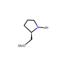 CCCN1CCC[C@@H]1COC